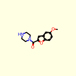 COc1ccc2oc(C(=O)N3CCNCC3)cc2c1